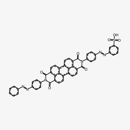 O=C1c2ccc3c4ccc5c6c(ccc(c7ccc(c2c37)C(=O)N1c1ccc(N=Nc2ccccc2)cc1)c64)C(=O)N(c1ccc(/N=N/c2cccc(S(=O)(=O)O)c2)cc1)C5=O